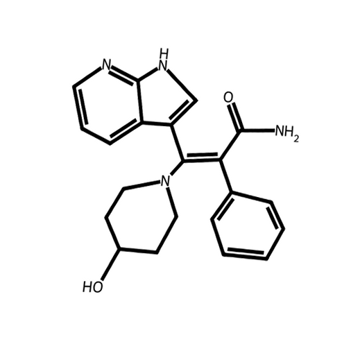 NC(=O)C(=C(c1c[nH]c2ncccc12)N1CCC(O)CC1)c1ccccc1